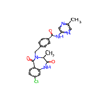 Cc1cnc(NC(=O)c2ccc(CN3C(=O)c4ccc(Cl)cc4NC(=O)C3C)cc2)cn1